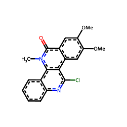 COc1cc2c(=O)n(C)c3c4ccccc4nc(Cl)c3c2cc1OC